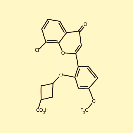 O=C(O)C1CC(Oc2cc(OC(F)(F)F)ccc2-c2cc(=O)c3cccc(Cl)c3o2)C1